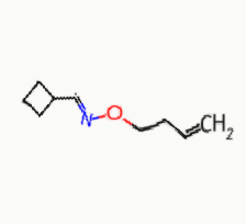 C=CCCO/N=[C]/C1CCC1